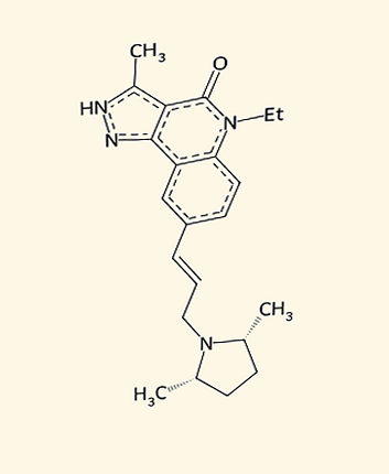 CCn1c(=O)c2c(C)[nH]nc2c2cc(/C=C/CN3[C@H](C)CC[C@@H]3C)ccc21